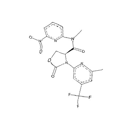 Cc1cc(C(F)(F)F)cc(N2C(=O)OC[C@H]2C(=O)N(C)c2cccc([N+](=O)[O-])n2)n1